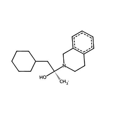 [CH2][C@](O)(CC1CCCCC1)N1CCc2ccccc2C1